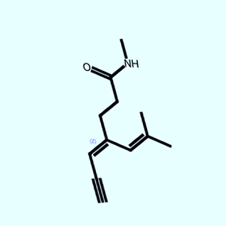 C#C/C=C(\C=C(C)C)CCC(=O)NC